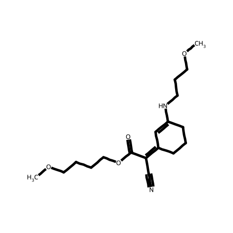 COCCCCOC(=O)/C(C#N)=C1\C=C(NCCCOC)CCC1